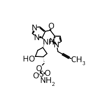 CC#CCn1ccc(C(=O)c2cncnc2N[C@@H]2C[C@H](COS(N)(=O)=O)[C@@H](O)C2)n1